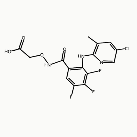 Cc1cc(Cl)cnc1Nc1c(C(=O)NOCC(=O)O)cc(F)c(F)c1F